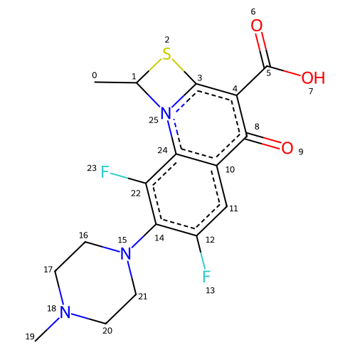 CC1Sc2c(C(=O)O)c(=O)c3cc(F)c(N4CCN(C)CC4)c(F)c3n21